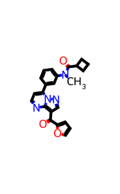 CN(C(=O)C1CCC1)c1cccc(-c2ccnc3c(C(=O)c4ccco4)cnn23)c1